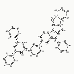 c1ccc(-c2cc(-c3ccccc3)nc(-c3cccc(-c4ccc5c(c4)n(-c4ccccc4)c4nc6c7ccccc7oc6n54)c3)n2)cc1